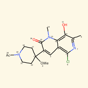 COC1(c2cc3c(Cl)nc(C)c(O)c3n(C)c2=O)CCN(C(C)=O)CC1